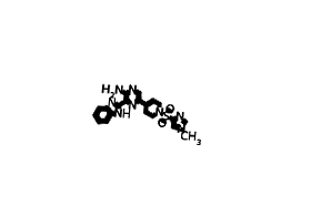 Cn1cnc(S(=O)(=O)N2CC=C(c3cnc(N)c(-c4nc5ccccc5[nH]4)n3)CC2)c1